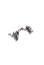 CC(C)Oc1cc2nc([C@H]3CC[C@H](CN4CCC(c5ccc6c(N7CCC(=O)NC7=O)nn(C)c6c5)CC4)CC3)cn2cc1C(=O)Nc1cccc(C(F)F)n1